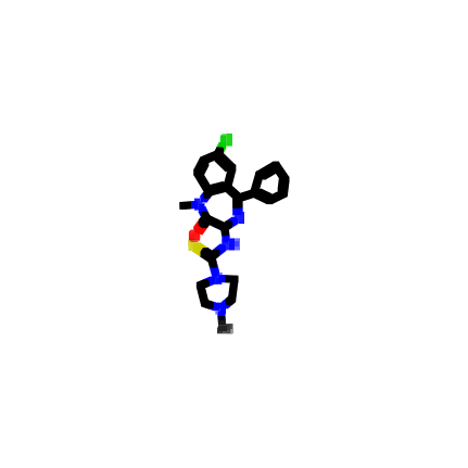 CC(=O)N1CCN(C(=S)NC2N=C(c3ccccc3)c3cc(Cl)ccc3N(C)C2=O)CC1